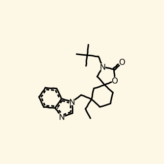 CCC1(Cn2cnc3ccccc32)CCCC2(CN(CC(C)(C)C)C(=O)O2)C1